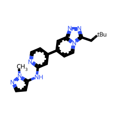 Cn1nccc1Nc1cc(-c2ccn3c(CC(C)(C)C)nnc3c2)ccn1